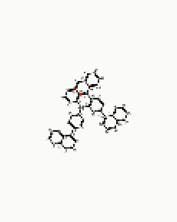 c1ccc(N(c2ccc(-c3cccc4ccccc34)cc2)c2cc(-c3cccc4ccccc34)ccc2-c2cccc3ccccc23)cc1